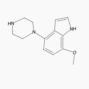 COc1ccc(N2CCNCC2)c2cc[nH]c12